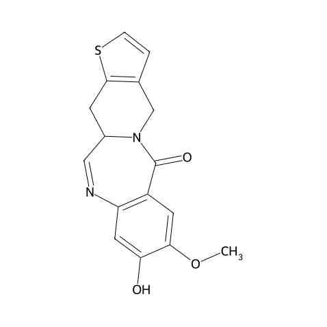 COc1cc2c(cc1O)N=CC1Cc3sccc3CN1C2=O